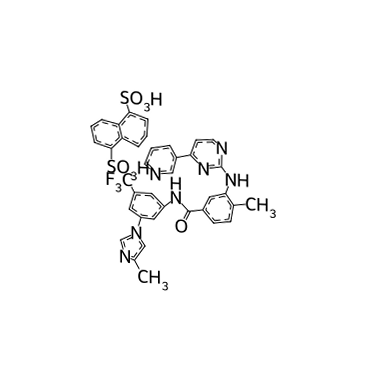 Cc1cn(-c2cc(NC(=O)c3ccc(C)c(Nc4nccc(-c5cccnc5)n4)c3)cc(C(F)(F)F)c2)cn1.O=S(=O)(O)c1cccc2c(S(=O)(=O)O)cccc12